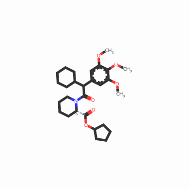 COc1cc(C(C(=O)N2CCCC[C@H]2C(=O)OC2CCCC2)C2CCCCC2)cc(OC)c1OC